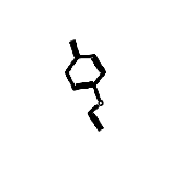 C=COC1=CCC(=C)C=C1